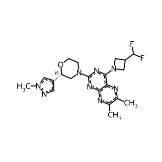 Cc1nc2nc(N3CCO[C@@H](c4cnn(C)c4)C3)nc(N3CC(C(F)F)C3)c2nc1C